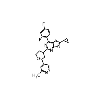 Cc1cc(C2CC(c3nc(-c4ccc(F)cc4F)c4sc(C5CC5)nc4n3)CCO2)cnn1